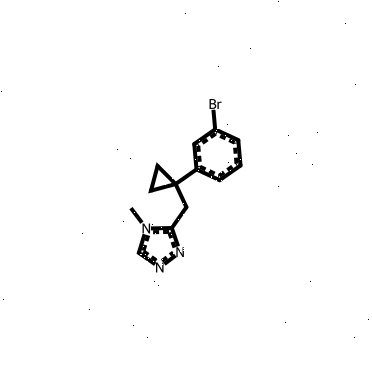 Cn1cnnc1CC1(c2cccc(Br)c2)CC1